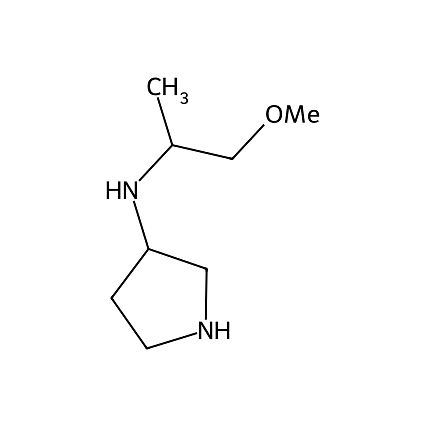 COCC(C)NC1CCNC1